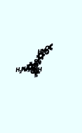 CC(C)OC(=O)NC1CCC(c2ncc(-c3ccc(CN)cc3S(=O)(=O)NC(C)(C)C)s2)CC1